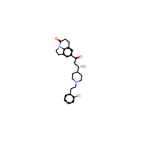 Cl.O=C(CCC1CCN(CCc2ccccc2Cl)CC1)c1cc2c3c(c1)CCN3C(=O)CC2